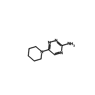 Nc1ncc(N2CCCCC2)nn1